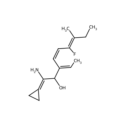 C\C=C(/C=C\C(F)=C(/C)CC)C(O)C(N)=C1CC1